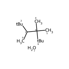 CC(C(C)(C)C)C(C)(C)C(C)(C)C.O